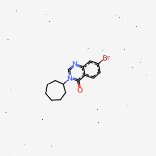 O=c1c2ccc(Br)cc2ncn1C1CCCCCC1